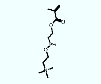 C=C(C)C(=O)OCCPOCC[N+](C)(C)C